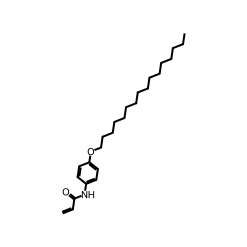 C=CC(=O)Nc1ccc(OCCCCCCCCCCCCCCCC)cc1